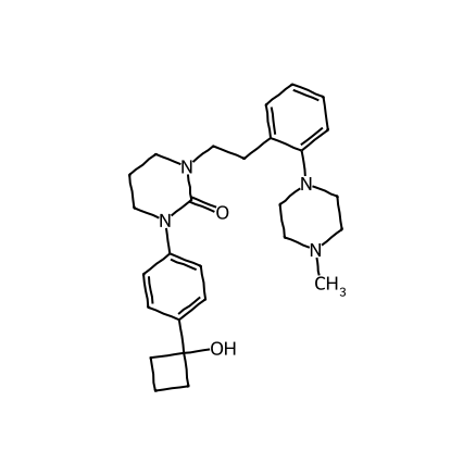 CN1CCN(c2ccccc2CCN2CCCN(c3ccc(C4(O)CCC4)cc3)C2=O)CC1